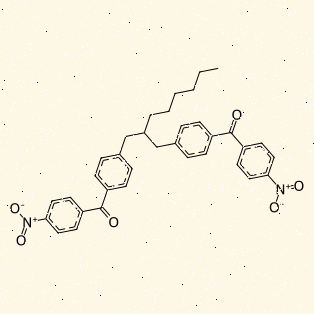 CCCCCCC(Cc1ccc(C(=O)c2ccc([N+](=O)[O-])cc2)cc1)Cc1ccc(C(=O)c2ccc([N+](=O)[O-])cc2)cc1